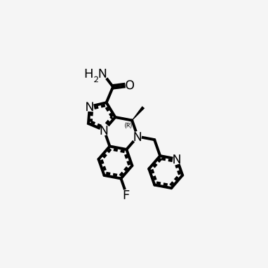 C[C@@H]1c2c(C(N)=O)ncn2-c2ccc(F)cc2N1Cc1ccccn1